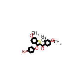 COc1ccc(C(=O)c2sc3cc(OC)ccc3c2Oc2ccc(Br)cc2)c(C)c1